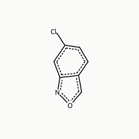 Clc1ccc2conc2c1